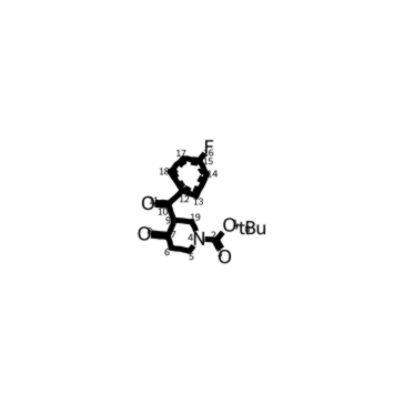 CC(C)(C)OC(=O)N1CCC(=O)C(C(=O)c2ccc(F)cc2)C1